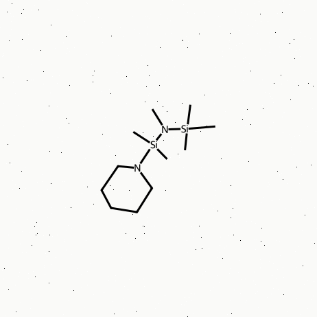 CN([Si](C)(C)C)[Si](C)(C)N1CCCCC1